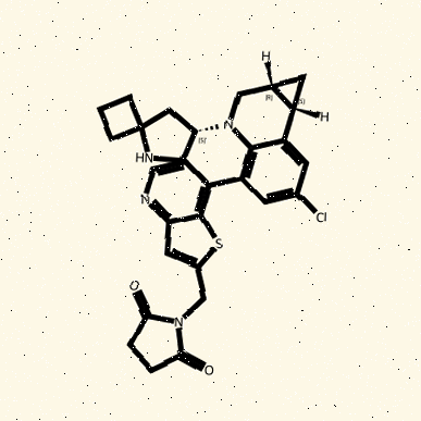 O=C1CCC(=O)N1Cc1cc2nccc(-c3cc(Cl)cc4c3N([C@@H]3CNC5(CCC5)C3)C[C@@H]3C[C@H]43)c2s1